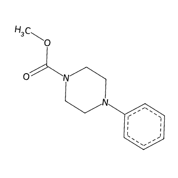 COC(=O)N1CCN(c2ccccc2)CC1